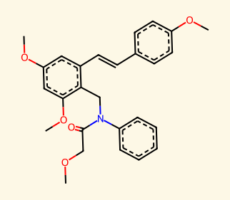 COCC(=O)N(Cc1c(C=Cc2ccc(OC)cc2)cc(OC)cc1OC)c1ccccc1